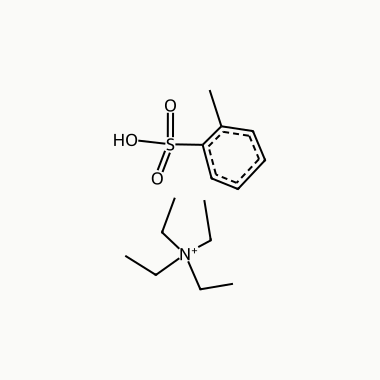 CC[N+](CC)(CC)CC.Cc1ccccc1S(=O)(=O)O